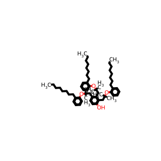 CCCCCCCCc1ccccc1OC(C)(C)Cc1ccc(O)c(CC(C)(C)Oc2ccccc2CCCCCCCC)c1CC(C)(C)Oc1ccccc1CCCCCCCC